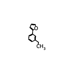 CCc1cccc(-c2ccco2)c1